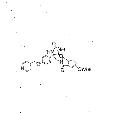 COc1ccc2c(c1)C(=O)N(C[C@@]1(c3ccc(OCc4ccncc4)cc3)NC(=O)NC1=O)C2